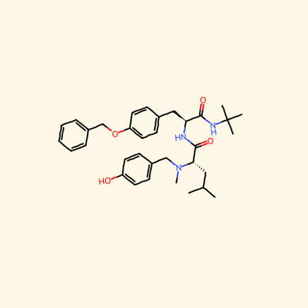 CC(C)C[C@@H](C(=O)N[C@@H](Cc1ccc(OCc2ccccc2)cc1)C(=O)NC(C)(C)C)N(C)Cc1ccc(O)cc1